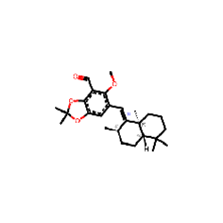 COc1c(/C=C2\[C@H](C)CC[C@H]3C(C)(C)CCC[C@]23C)cc2c(c1C=O)OC(C)(C)O2